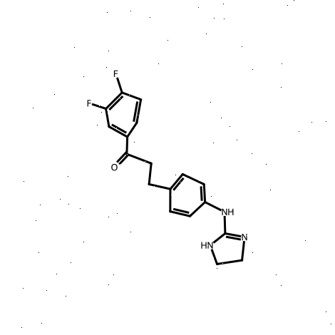 O=C(CCc1ccc(NC2=NCCN2)cc1)c1ccc(F)c(F)c1